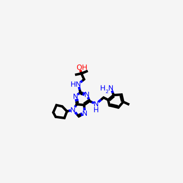 Cc1ccc(CNc2nc(NCC(C)(C)O)nc3c2ncn3C2CCCCC2)c(N)c1